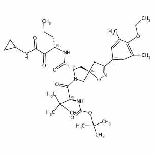 CCC[C@H](NC(=O)[C@@H]1C[C@]2(CC(c3cc(C)c(OCC)c(C)c3)=NO2)CN1C(=O)[C@@H](NC(=O)OC(C)(C)C)C(C)(C)C)C(=O)C(=O)NC1CC1